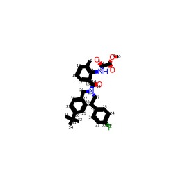 COC(=O)C(=O)Nc1c(C)cccc1C(=O)N(CCc1ccc(F)cc1)Cc1ccc(C(C)(C)C)cc1